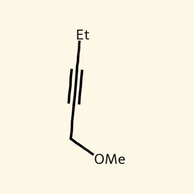 [CH2]OCC#CCC